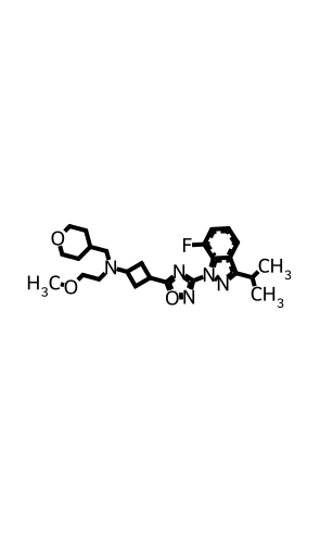 COCCN(CC1CCOCC1)C1CC(c2nc(-n3nc(C(C)C)c4cccc(F)c43)no2)C1